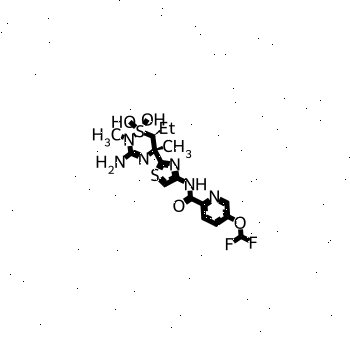 CC[C@@H]1[C@](C)(c2nc(NC(=O)c3ccc(OC(F)F)cn3)cs2)N=C(N)N(C)S1(O)O